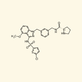 COc1cccc2c1c(NS(=O)(=O)c1ccc(Cl)s1)nn2Cc1cccc(CNC(=O)[C@@H]2CCCN2)c1